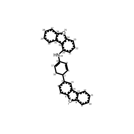 C1=CC(c2ccc3oc4ccccc4c3c2)CC=C1Nc1cccc2oc3ccccc3c12